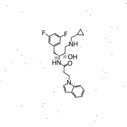 O=C(CCn1ccc2ccccc21)N[C@@H](Cc1cc(F)cc(F)c1)[C@@H](O)CNCC1CC1